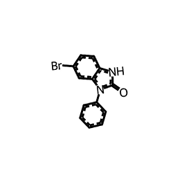 O=c1[nH]c2ccc(Br)cc2n1-c1ccccc1